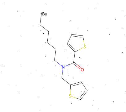 CC(C)(C)[CH]CCCCN(Cc1cccs1)C(=O)c1cccs1